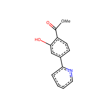 COC(=O)c1ccc(-c2ccccn2)cc1O